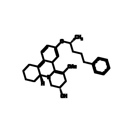 CC(=O)OC1=C2C3C=C(O[C@H](C)CCCc4ccccc4)C=CC3=C3CCCC[C@H]3N2C[C@@H](O)C1